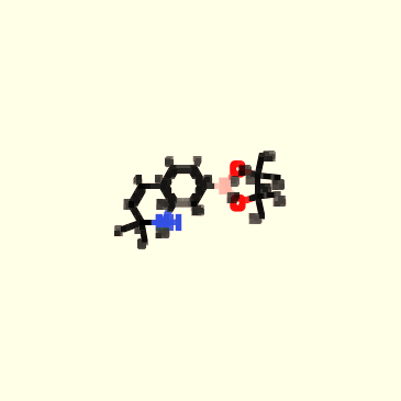 CC1(C)C=Cc2ccc(B3OC(C)(C)C(C)(C)O3)cc2N1